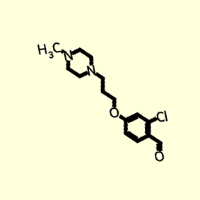 CN1CCN(CCCOc2ccc(C=O)c(Cl)c2)CC1